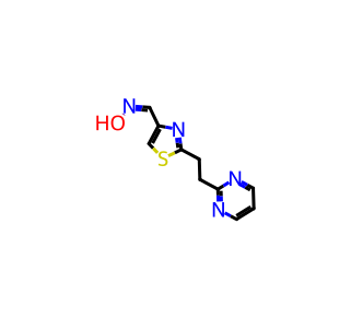 O/N=C\c1csc(CCc2ncccn2)n1